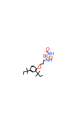 CCC(C)(C)c1ccc(OCCCNS(=O)(=O)N[C]=O)c(C(C)(C)CC)c1